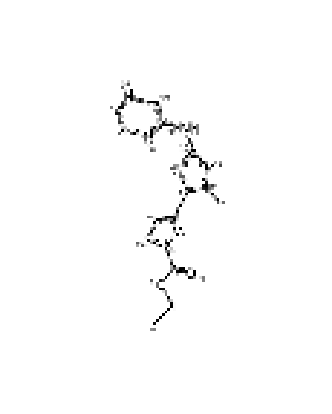 CCOC(=O)c1nc(-c2sc(Nc3cnccn3)nc2C)cs1